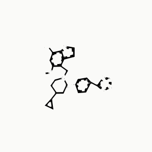 COc1cc(C)c2[nH]ccc2c1CN1CCC(C2CC2)C[C@H]1c1ccc(-c2nn[nH]n2)cc1